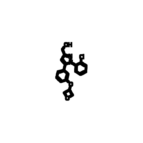 OCc1cc(-c2cccc(OC3COC3)c2)n(-c2ccccc2Cl)n1